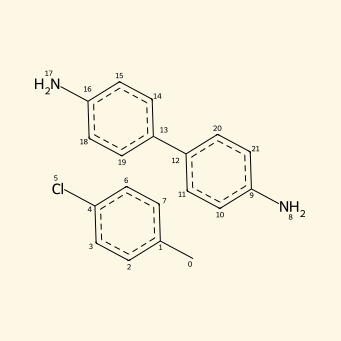 Cc1ccc(Cl)cc1.Nc1ccc(-c2ccc(N)cc2)cc1